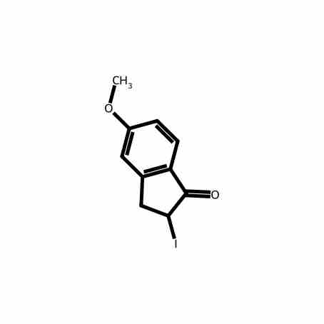 COc1ccc2c(c1)CC(I)C2=O